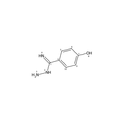 N=C(NN)c1ccc(O)cc1